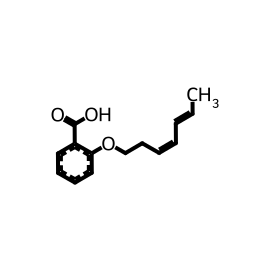 C/C=C/C=C\CCOc1ccccc1C(=O)O